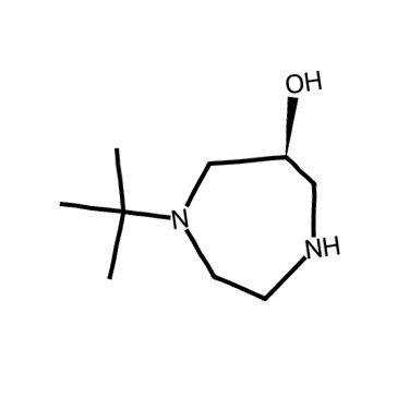 CC(C)(C)N1CCNC[C@H](O)C1